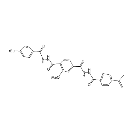 C=C(C)c1ccc(C(=O)NNC(=O)c2ccc(C(=O)NNC(=O)c3ccc(C(C)(C)C)cc3)c(OC)c2)cc1